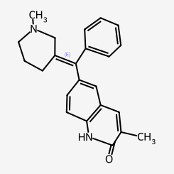 Cc1cc2cc(/C(=C3\CCCN(C)C3)c3ccccc3)ccc2[nH]c1=O